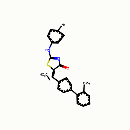 CC(=O)O.COc1ccccc1-c1ccc(C=C2SC(Nc3cc[c]([Na])cc3)=NC2=O)cc1